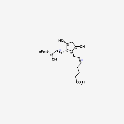 CCCCC[C@@H](O)/C=C/[C@H]1[C@H](C/C=C\CCCC(=O)O)[C@H](O)C[C@@H]1O